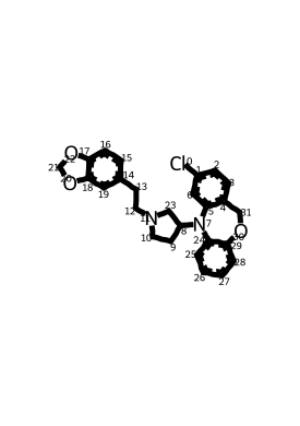 Clc1ccc2c(c1)N(C1CCN(CCc3ccc4c(c3)OCO4)C1)c1ccccc1OC2